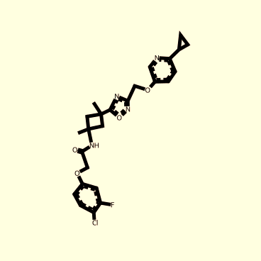 CC1(NC(=O)COc2ccc(Cl)c(F)c2)CC(C)(c2nc(COc3ccc(C4CC4)nc3)no2)C1